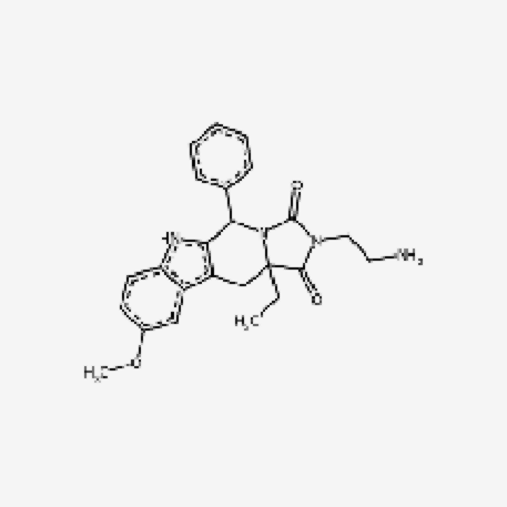 CCC12Cc3c([nH]c4ccc(OC)cc34)C(c3ccccc3)N1C(=O)N(CCN)C2=O